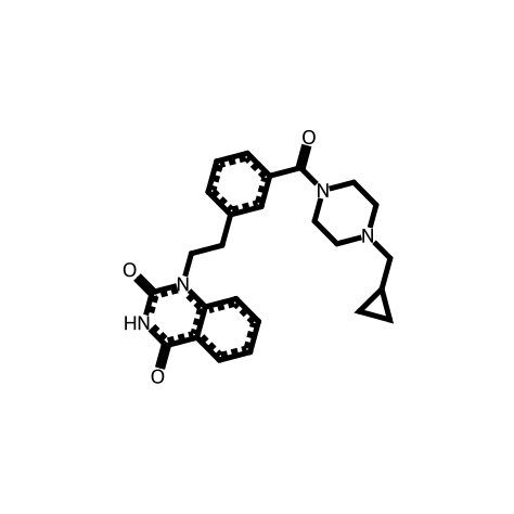 O=C(c1cccc(CCn2c(=O)[nH]c(=O)c3ccccc32)c1)N1CCN(CC2CC2)CC1